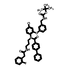 CC(C)(C)OC(=O)NCc1cccc(Oc2cc(Cl)ccc2N(CCCNC(=O)Cc2ccccc2F)C(=O)c2ccc(-c3ccccc3)cc2)c1